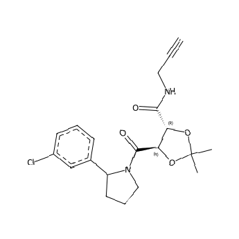 C#CCNC(=O)[C@@H]1OC(C)(C)O[C@H]1C(=O)N1CCCC1c1cccc(Cl)c1